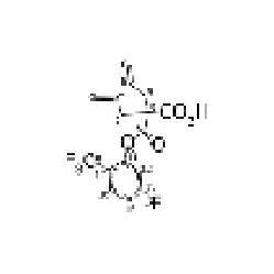 C=CCC(CC=C)(C(=O)O)C(=O)Oc1cc(F)ccc1C(F)(F)F